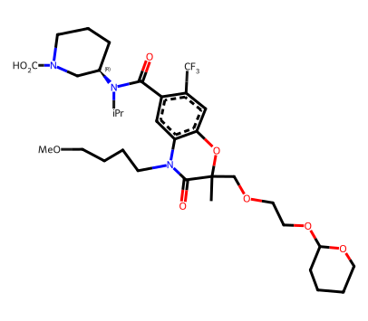 COCCCCN1C(=O)C(C)(COCCOC2CCCCO2)Oc2cc(C(F)(F)F)c(C(=O)N(C(C)C)[C@@H]3CCCN(C(=O)O)C3)cc21